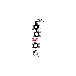 C=CC[C@H]1CC[C@H](C(=O)O[C@H]2CC[C@H](c3ccc(COC)cc3)CC2)CC1